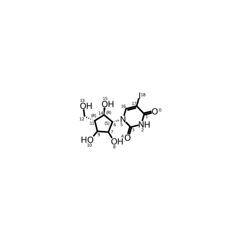 O=c1[nH]c(=O)n([C@@H]2C(O)C(O)[C@H](CO)[C@H]2O)cc1I